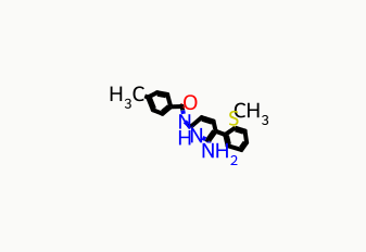 CSc1ccccc1-c1ccc(NC(=O)c2ccc(C)cc2)nc1N